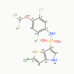 O=S(=O)(Nc1cc(F)c(OC(F)F)cc1F)c1c[nH]c2cc(Cl)sc12